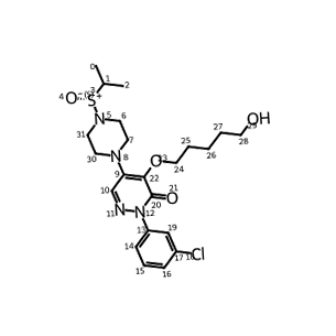 CC(C)[S@@+]([O-])N1CCN(c2cnn(-c3cccc(Cl)c3)c(=O)c2OCCCCCO)CC1